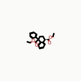 CCOC(=O)[C@@H]1CCC(C(=O)OCC)(c2ccccc2)c2ccccc21